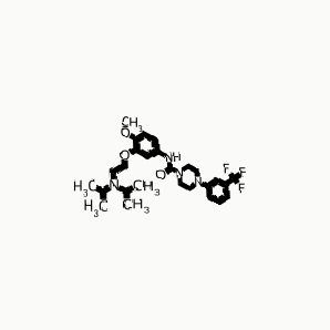 COc1ccc(NC(=O)N2CCN(c3cccc(C(F)(F)F)c3)CC2)cc1OCCN(C(C)C)C(C)C